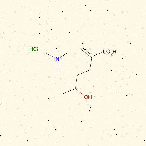 C=C(CCC(C)O)C(=O)O.CN(C)C.Cl